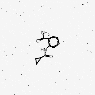 NC(=O)c1ccccc1NC(=O)C1CC1